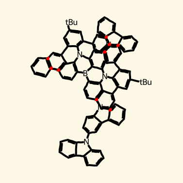 CC(C)(C)c1cc(-c2ccccc2)c(N2c3cc(-c4ccccc4)ccc3B3c4ccc(-n5c6ccccc6c6cc(-n7c8ccccc8c8ccccc87)ccc65)cc4N(c4c(-c5ccccc5)cc(C(C)(C)C)cc4-c4ccccc4)c4cc(-n5c6ccccc6c6ccccc65)cc2c43)c(-c2ccccc2)c1